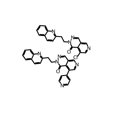 O=c1c2c(-c3ccncc3)cncc2cnn1CCc1ccc2ccccc2n1.O=c1c2c(Cl)cncc2cnn1CCc1ccc2ccccc2n1